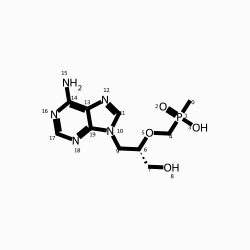 CP(=O)(O)CO[C@H](CO)Cn1cnc2c(N)ncnc21